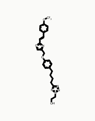 OCCn1nnc(CCCCc2ccc(OCc3coc(C=Cc4ccc(OC(F)(F)F)cc4)n3)cc2)n1